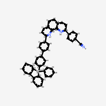 N#Cc1ccc(-c2ccc3ccc4ccc(-c5ccc(-c6ccc([Si]7(c8ccccc8)c8ccccc8-c8ccccc87)cc6)cc5)nc4c3n2)cc1